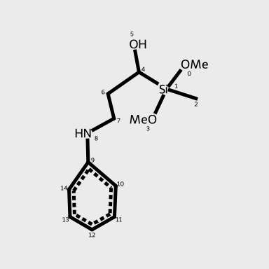 CO[Si](C)(OC)C(O)CCNc1ccccc1